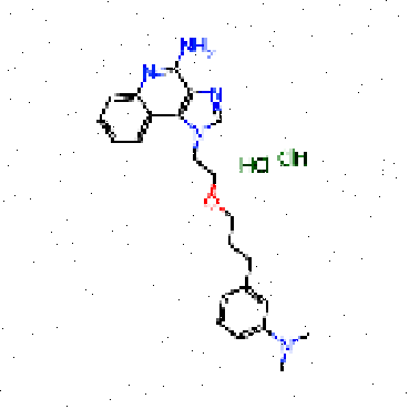 CN(C)c1cccc(CCCOCCn2cnc3c(N)nc4ccccc4c32)c1.Cl.Cl